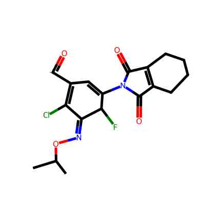 CC(C)ON=C1C(Cl)=C([C]=O)C=C(N2C(=O)C3=C(CCCC3)C2=O)C1F